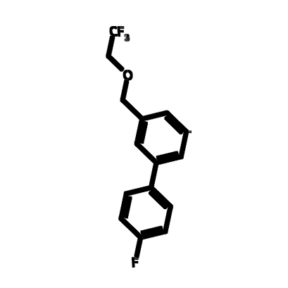 Fc1ccc(-c2c[c]cc(COCC(F)(F)F)c2)cc1